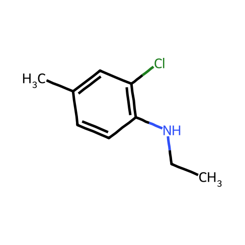 CCNc1ccc(C)cc1Cl